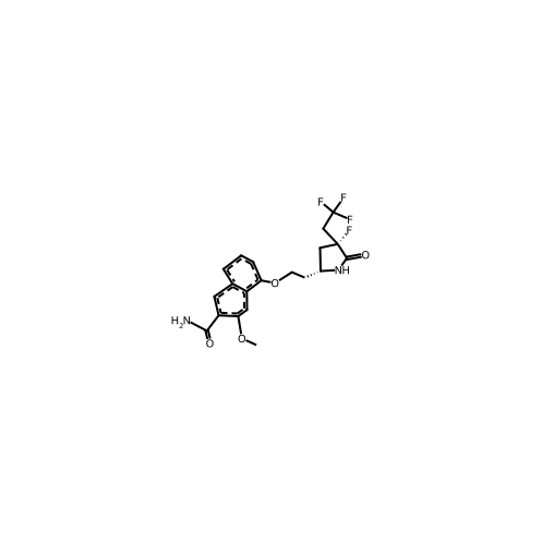 COc1cc2c(OCC[C@@H]3C[C@@](F)(CC(F)(F)F)C(=O)N3)cccc2cc1C(N)=O